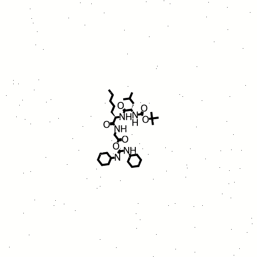 CCCCC[C@@H](NC(=O)[C@H](CC(C)C)NC(=O)OC(C)(C)C)C(=O)NCC(=O)O/C(=N\C1CCCCC1)NC1CCCCC1